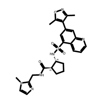 Cc1noc(C)c1-c1cc(S(=O)(=O)N[C@@H]2CCC[C@H]2C(=O)NCc2nccn2C)c2cccnc2c1